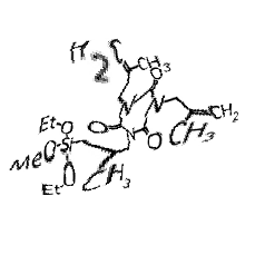 C=C(C)Cn1c(=O)n(CC(=C)C)c(=O)n(CC(C)C[Si](OC)(OCC)OCC)c1=O